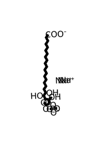 O=C([O-])CCCCCCCCCCCCCCCCCC(O)[C@H](O)[C@H]1OC(=O)C(OP(=O)([O-])[O-])=C1O.[Na+].[Na+].[Na+]